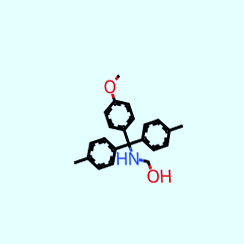 COc1ccc(C(NCO)(c2ccc(C)cc2)c2ccc(C)cc2)cc1